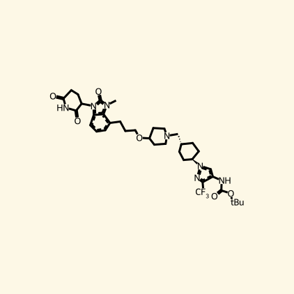 Cn1c(=O)n(C2CCC(=O)NC2=O)c2cccc(CCCOC3CCN(C[C@H]4CC[C@H](n5cc(NC(=O)OC(C)(C)C)c(C(F)(F)F)n5)CC4)CC3)c21